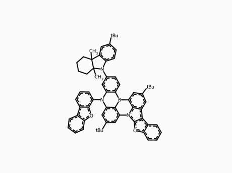 CC(C)(C)c1cc2c3c(c1)-n1c4oc5ccccc5c4c4cc(C(C)(C)C)cc(c41)B3c1ccc(N3c4ccc(C(C)(C)C)cc4C4(C)CCCCC34C)cc1N2c1cccc2c1oc1ccccc12